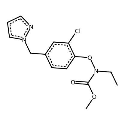 CCN(Oc1ccc(Cn2cccn2)cc1Cl)C(=O)OC